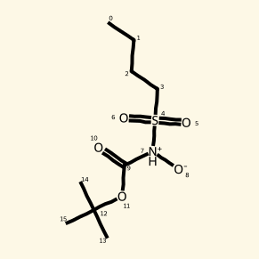 CCCCS(=O)(=O)[NH+]([O-])C(=O)OC(C)(C)C